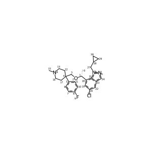 C[C@@H](OCC1(c2ccc(F)cc2)CCN(C)CC1)c1cc(Cl)cc2cnn(CC3CC3)c12